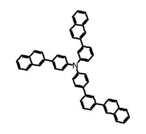 c1cc(-c2ccc(N(c3ccc(-c4ccc5ccccc5c4)cc3)c3cccc(-c4ccc5ccccc5c4)c3)cc2)cc(-c2ccc3ccccc3c2)c1